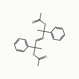 CC(=O)OC(C)(N=NC(C)(OC(C)=O)c1ccccc1)c1ccccc1